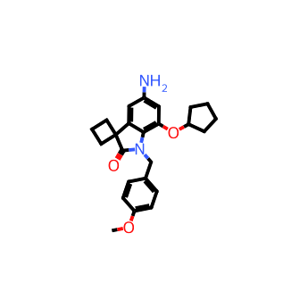 COc1ccc(CN2C(=O)C3(CCC3)c3cc(N)cc(OC4CCCC4)c32)cc1